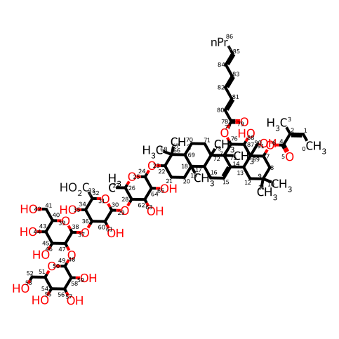 C/C=C(/C)C(=O)OC1CC(C)(C)CC2C3=CCC4C5(C)CCC(OC6OC(C)C(OC7OC(C(=O)O)C(O)C(OC8OC(CO)C(O)C(O)C8OC8OC(CO)C(O)C(O)C8O)C7O)C(O)C6O)C(C)(C)C5CCC4(C)C3(C)C(OC(=O)/C=C/C=C/C=C/CCC)C(O)C12CO